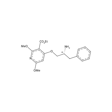 CCOC(=O)c1c(OC[C@H](N)Cc2ccccc2)cc(OC)nc1OC